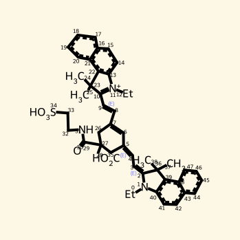 CCN1/C(=C/C=C2C=C(/C=C/C3=[N+](CC)c4ccc5ccccc5c4C3(C)C)CC(C(=O)O)(C(=O)NCCS(=O)(=O)O)C/2)C(C)(C)c2c1ccc1ccccc21